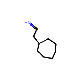 N=CCC1CCCCCC1